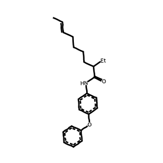 CC=CCCCCC(CC)C(=O)Nc1ccc(Oc2ccccc2)cc1